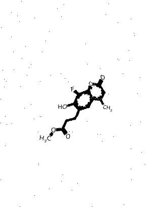 COC(=O)CCc1cc2c(C)cc(=O)oc2c(F)c1O